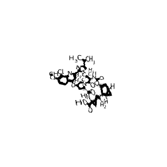 C=CC1C[C@]1(NC(=O)[C@@H]1CC(Oc2cc(-c3nc(C(C)C)cs3)nc3c(Cl)c(OC)ccc23)CN1C(=O)[C@@H](NC(=O)O[C@@H]1C[C@@H]2C[C@@H]2C1)C(C)(C)C)C(=O)O